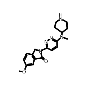 COc1ccc2c(c1)C(=O)N(c1ccc(N(C)C3CCNCC3)nn1)C2